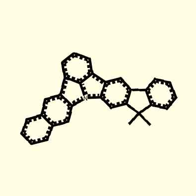 CC1(C)c2ccccc2-c2cc3c4cccc5c6cc7ccccc7cc6n(c3cc21)c45